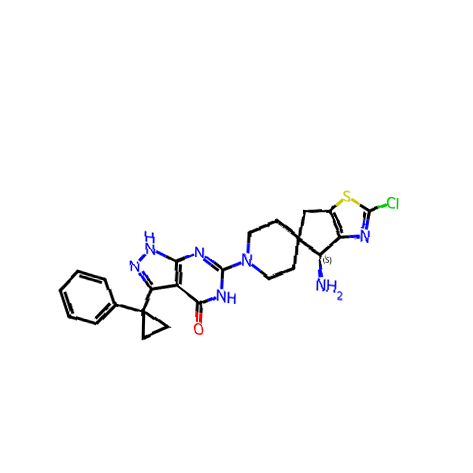 N[C@@H]1c2nc(Cl)sc2CC12CCN(c1nc3[nH]nc(C4(c5ccccc5)CC4)c3c(=O)[nH]1)CC2